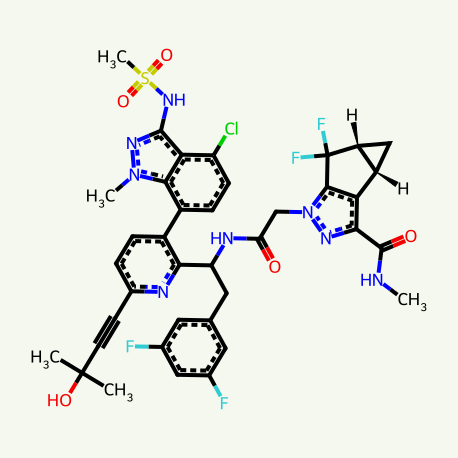 CNC(=O)c1nn(CC(=O)NC(Cc2cc(F)cc(F)c2)c2nc(C#CC(C)(C)O)ccc2-c2ccc(Cl)c3c(NS(C)(=O)=O)nn(C)c23)c2c1[C@H]1C[C@H]1C2(F)F